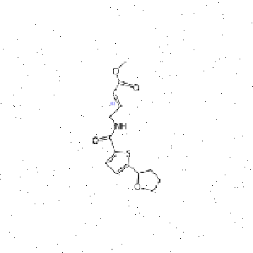 COC(=O)/C=C/CNC(=O)c1ccc(C2CCCO2)s1